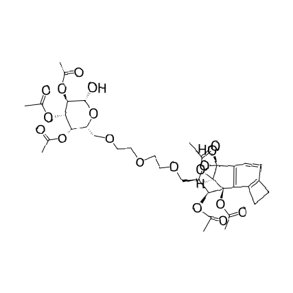 CC(=O)O[C@@H]1[C@@H](OC(C)=O)[C@H](O)O[C@H](COCCOCCOC[C@H]2O[C@]3(O)c4ccc5c(c4[C@@](OC(C)=O)([C@H]3OC(C)=O)[C@H]2OC(C)=O)CC5)[C@@H]1OC(C)=O